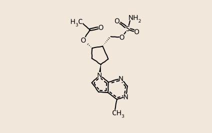 CC(=O)O[C@H]1C[C@H](n2ccc3c(C)ncnc32)C[C@H]1COS(N)(=O)=O